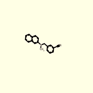 CN(Cc1cccc(C#N)c1)c1ccc2ccccc2c1